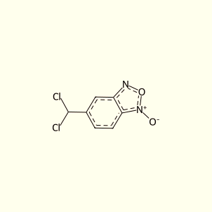 [O-][n+]1onc2cc(C(Cl)Cl)ccc21